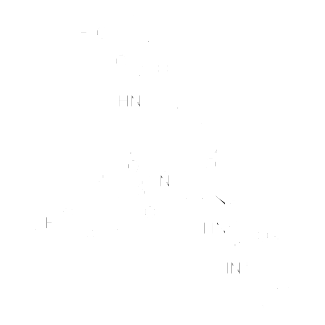 CC(C)(OC(=O)Nc1ccc2c(c1)N(S(=O)(=O)c1ccc(F)cc1)C[C@H](CNC(=O)NC1CC1)O2)C(F)(F)F